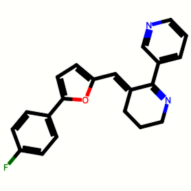 Fc1ccc(-c2ccc(C=C3CCCN=C3c3cccnc3)o2)cc1